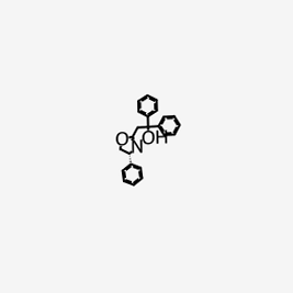 OC(CC1=N[C@H](c2ccccc2)CO1)(c1ccccc1)c1ccccc1